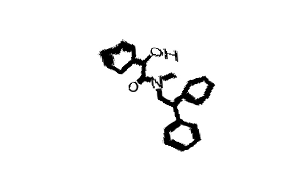 CN(CC(c1ccccc1)c1ccccc1)C(=O)C(O)c1ccccc1